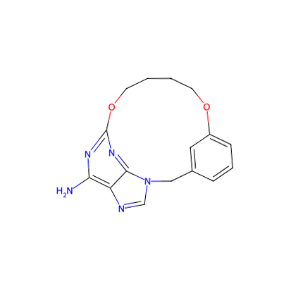 Nc1nc2nc3c1ncn3Cc1cccc(c1)OCCCCO2